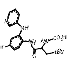 CC(C)(C)CC(NC(=O)O)C(=O)Nc1ccc(F)cc1Nc1cccnc1